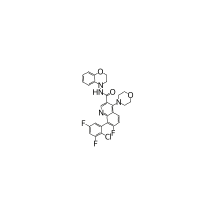 O=C(NN1CCOc2ccccc21)c1cnc2c(-c3cc(F)cc(F)c3Cl)c(F)ccc2c1N1CCOCC1